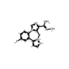 NC(=NO)c1ncn2c1Cn1nccc1-c1cc(F)ccc1-2